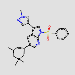 CC1C=C(c2cnc3c(c2)c(-c2cnn(C)c2)cn3S(=O)(=O)c2ccccc2)CC(C)(C)C1